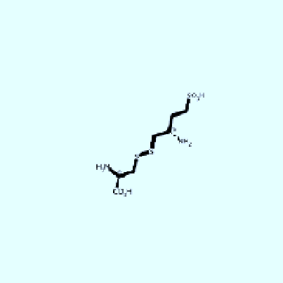 N[C@@H](CCS(=O)(=O)O)CSSC[C@H](N)C(=O)O